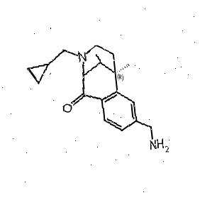 CC1C2C(=O)c3ccc(CN)cc3[C@]1(C)CCN2CC1CC1